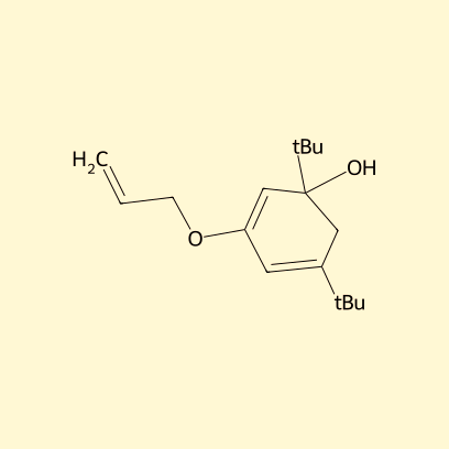 C=CCOC1=CC(O)(C(C)(C)C)CC(C(C)(C)C)=C1